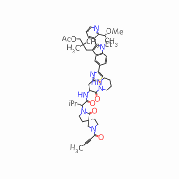 CC#CC(=O)N1CC[C@@]2(CCN(C(C(=O)N[C@@H](Cc3nc(-c4ccc5c(c4)c(CC(C)(C)COC(C)=O)c(-c4cccnc4[C@H](C)OC)n5CC)cs3)C(=O)N3CCCCN3)C(C)C)C2=O)C1